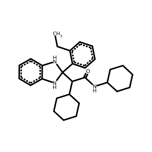 CCc1ccccc1C1(C(C(=O)NC2CCCCC2)C2CCCCC2)Nc2ccccc2N1